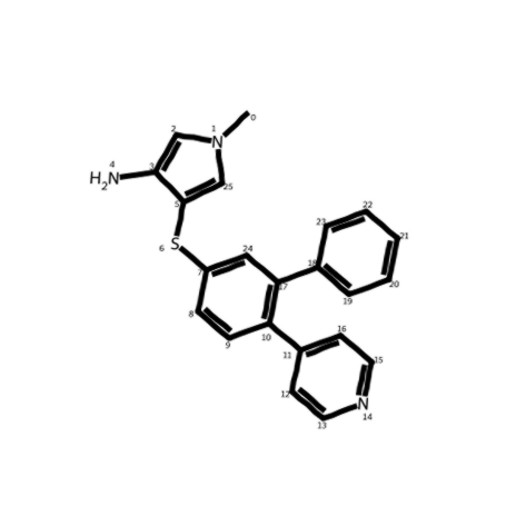 Cn1cc(N)c(Sc2ccc(-c3ccncc3)c(-c3ccccc3)c2)c1